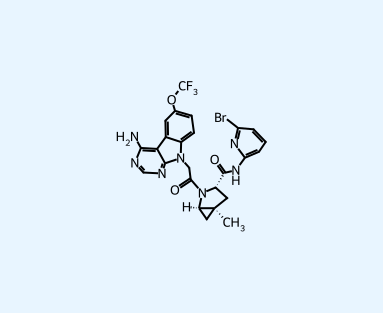 C[C@@]12C[C@@H](C(=O)Nc3cccc(Br)n3)N(C(=O)Cn3c4ccc(OC(F)(F)F)cc4c4c(N)ncnc43)[C@@H]1C2